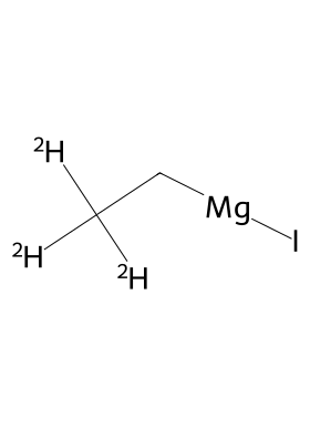 [2H]C([2H])([2H])[CH2][Mg][I]